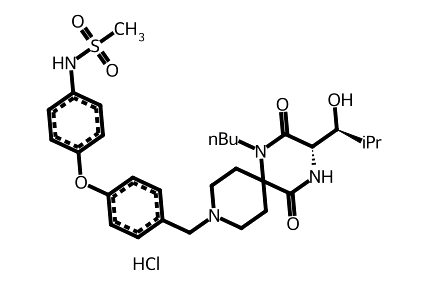 CCCCN1C(=O)[C@H]([C@@H](O)C(C)C)NC(=O)C12CCN(Cc1ccc(Oc3ccc(NS(C)(=O)=O)cc3)cc1)CC2.Cl